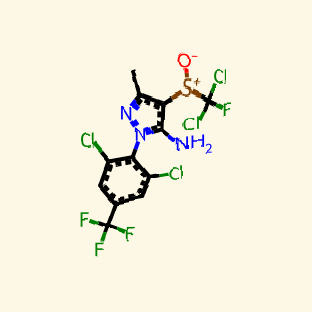 Cc1nn(-c2c(Cl)cc(C(F)(F)F)cc2Cl)c(N)c1[S+]([O-])C(F)(Cl)Cl